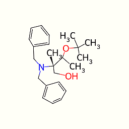 CC(OC(C)(C)C)[C@](C)(CO)N(Cc1ccccc1)Cc1ccccc1